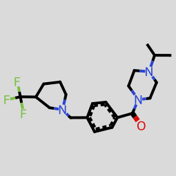 CC(C)N1CCN(C(=O)c2ccc(CN3CCCC(C(F)(F)F)C3)cc2)CC1